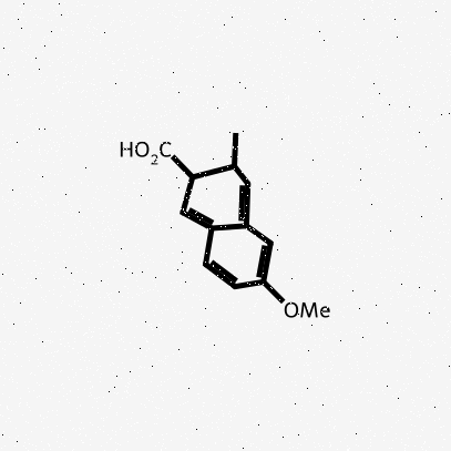 COc1ccc2c(c1)=CC(C)C(C(=O)O)C=2